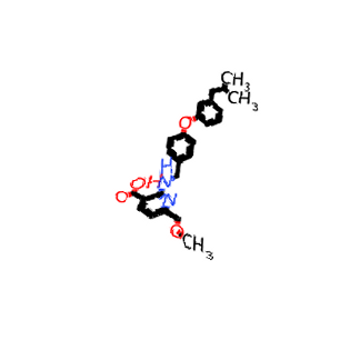 COCc1ccc(C(=O)O)c(NCc2ccc(Oc3cccc(CC(C)C)c3)cc2)n1